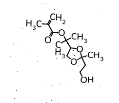 C=C(C)C(=O)OC(C)(C)C1COC(C)(CCO)O1